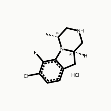 C[C@@H]1CNC[C@H]2Cc3ccc(Cl)c(F)c3N21.Cl